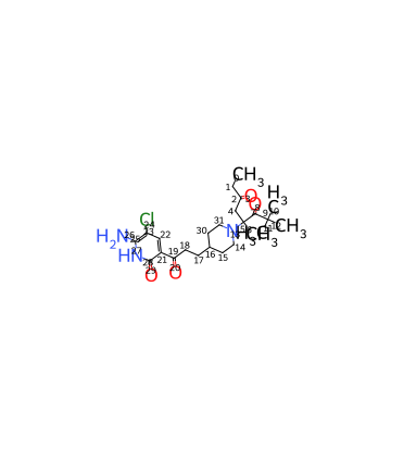 CCC(=O)CC(C)(C(=O)C(C)(C)C)N1CCC(CCC(=O)c2cc(Cl)c(N)[nH]c2=O)CC1